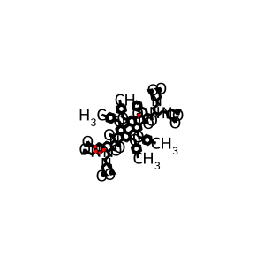 Cc1ccc(Oc2cc3c4c(cc(Oc5ccc(C)cc5)c5c6c(Oc7ccc(C)cc7)cc7c8c(cc(Oc9ccc(C)cc9)c(c2c45)c86)C(=O)N(C(Cc2ccccc2)C(=O)N(CCN(CC2CO2)CC2CO2)CCN(CC2CO2)CC2CO2)C7=O)C(=O)N(C(Cc2ccccc2)C(=O)N(CCN(CC2CO2)CC2CO2)CCN(CC2CO2)CC2CO2)C3=O)cc1